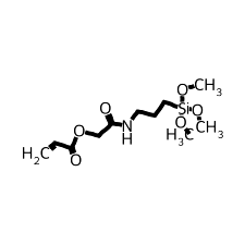 C=CC(=O)OCC(=O)NCCC[Si](OC)(OC)OC